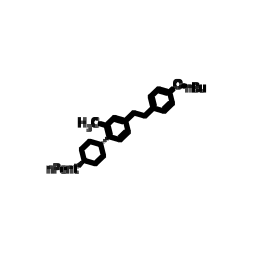 CCCCC[C@H]1CC[C@H](c2ccc(CCc3ccc(OCCCC)cc3)cc2C)CC1